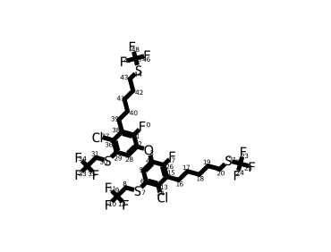 Fc1c(Oc2cc(SCC(F)(F)F)c(Cl)c(CCCCCSC(F)(F)F)c2F)cc(SCC(F)(F)F)c(Cl)c1CCCCCSC(F)(F)F